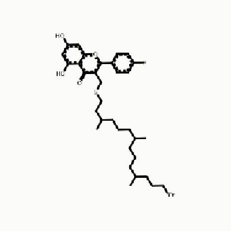 CC(C)CCCC(C)CCCC(C)CCCC(C)CCSCc1c(-c2ccc(F)cc2)oc2cc(O)cc(O)c2c1=O